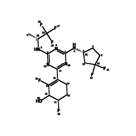 C[C@@H](Nc1nc(N[C@@H]2CCC(F)(F)C2)nc(C2=C(F)C(O)C(F)CC2)n1)C(F)(F)F